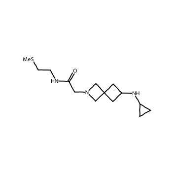 CSCCNC(=O)CN1CC2(CC(NC3CC3)C2)C1